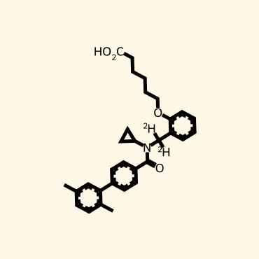 [2H]C([2H])(c1ccccc1OCCCCCC(=O)O)N(C(=O)c1ccc(-c2cc(C)ccc2C)cc1)C1CC1